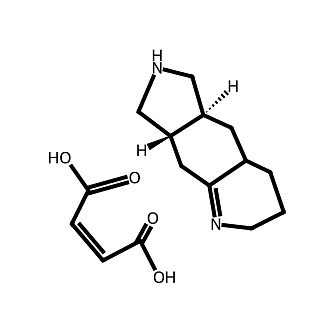 C1CN=C2C[C@@H]3CNC[C@H]3CC2C1.O=C(O)/C=C\C(=O)O